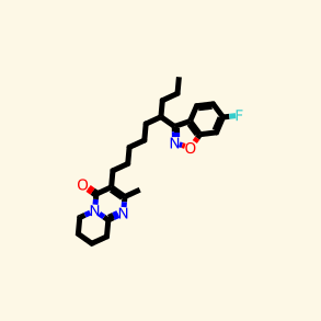 CCCC(CCCCCc1c(C)nc2n(c1=O)CCCC2)c1noc2cc(F)ccc12